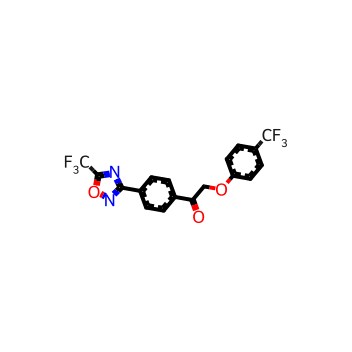 O=C(COc1ccc(C(F)(F)F)cc1)c1ccc(-c2noc(C(F)(F)F)n2)cc1